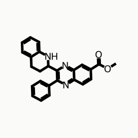 COC(=O)c1ccc2nc(-c3ccccc3)c(C3CCc4ccccc4N3)nc2c1